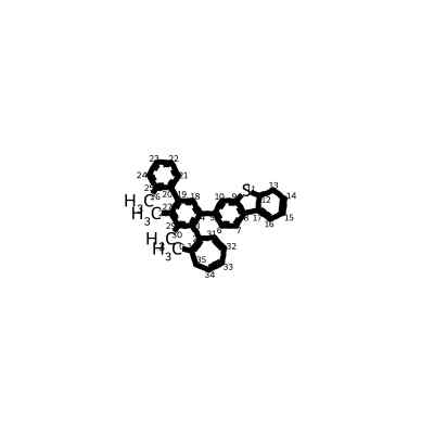 CC1=C(c2c(-c3ccc4c(c3)SC3CC=CC=C43)cc(-c3ccccc3C)c(C)c2C)C=CC=CC1